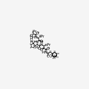 CCCC(NC(=O)C1[C@H]2CCC[C@H]2CN1C(=O)[C@@H](NC(=O)[C@H](O)C(C)C)C(C)C)C(=O)C(=O)N[C@@H](Cc1ccccc1)C(=O)O